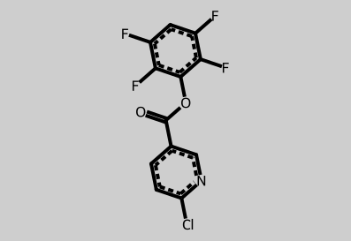 O=C(Oc1c(F)c(F)cc(F)c1F)c1ccc(Cl)nc1